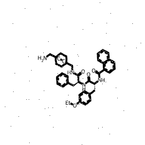 CCOc1ccc(C[C@@H](NC(=O)c2cccc3ccccc23)C(=O)N[C@@H](Cc2ccccc2)C(=O)NCC23CCC(CN)(CC2)CC3)cc1